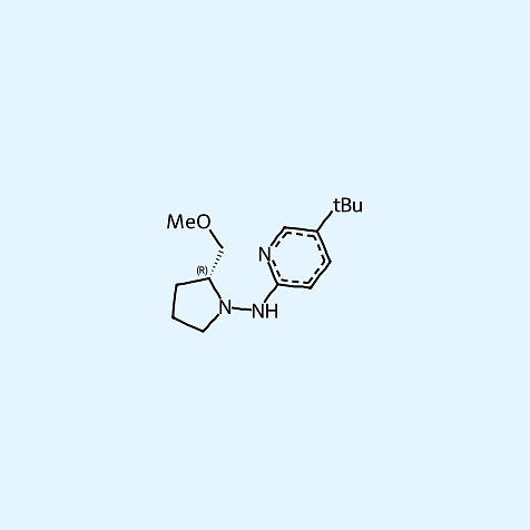 COC[C@H]1CCCN1Nc1ccc(C(C)(C)C)cn1